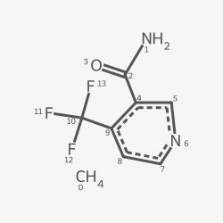 C.NC(=O)c1cnccc1C(F)(F)F